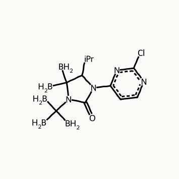 BC(B)(B)N1C(=O)N(c2ccnc(Cl)n2)C(C(C)C)C1(B)B